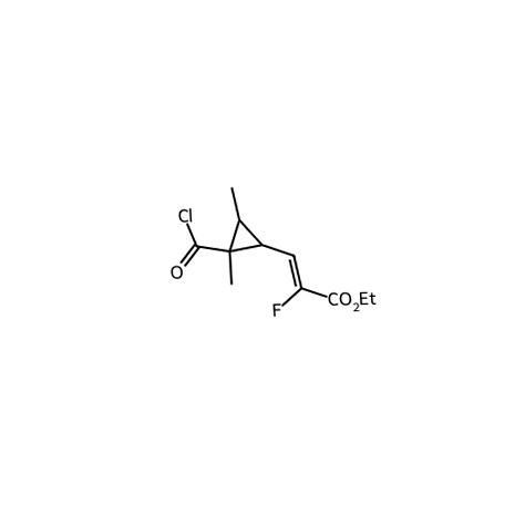 CCOC(=O)C(F)=CC1C(C)C1(C)C(=O)Cl